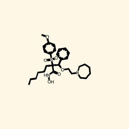 CCCCCCC(C(=O)NO)(C(OCCN1CCCCCC1)c1ccccc1)S(=O)(=O)c1ccc(OC)cc1